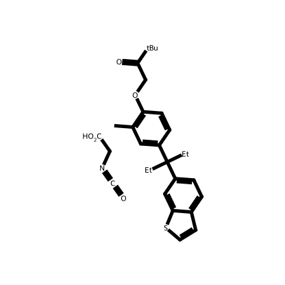 CCC(CC)(c1ccc(OCC(=O)C(C)(C)C)c(C)c1)c1ccc2ccsc2c1.O=C=NCC(=O)O